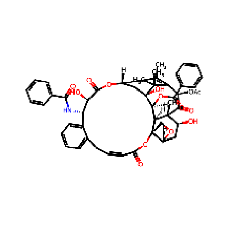 CC(=O)O[C@H]1C(=O)[C@@]2(C)[C@@H]3[C@H](OC(=O)c4ccccc4)[C@]4(O)C[C@H](OC(=O)[C@H](O)[C@@H](NC(=O)c5ccccc5)c5ccccc5C/C=C\C(=O)O[C@]35CO[C@@H]5C[C@@H]2O)C(C)=C1C4(C)C